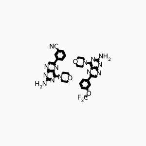 N#Cc1cccc(-c2cnc3nc(N)nc(N4CCOCC4)c3n2)c1.Nc1nc(N2CCOCC2)c2nc(-c3cccc(OC(F)(F)F)c3)cnc2n1